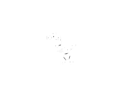 COCOc1cc(OC)c(Br)cc1BOC(=O)CN(C)CC(=O)O